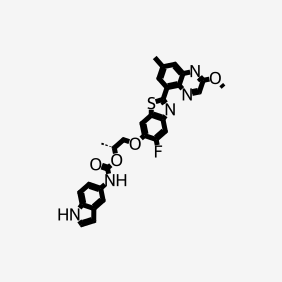 COc1cnc2c(-c3nc4cc(F)c(OC[C@@H](C)OC(=O)Nc5ccc6[nH]ccc6c5)cc4s3)cc(C)cc2n1